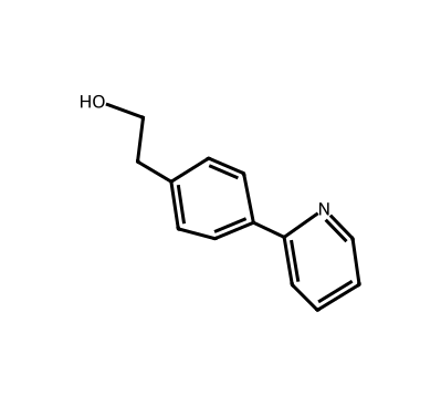 OCCc1ccc(-c2ccccn2)cc1